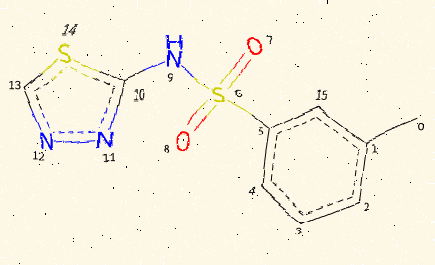 Cc1cccc(S(=O)(=O)Nc2nncs2)c1